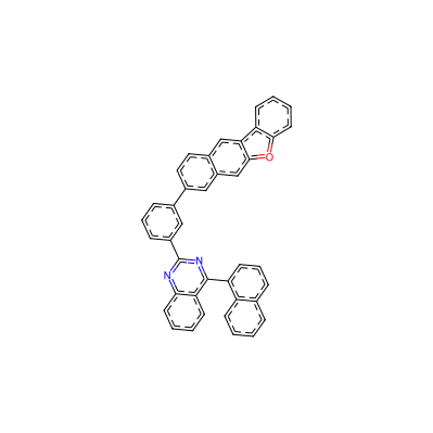 c1cc(-c2ccc3cc4c(cc3c2)oc2ccccc24)cc(-c2nc(-c3cccc4ccccc34)c3ccccc3n2)c1